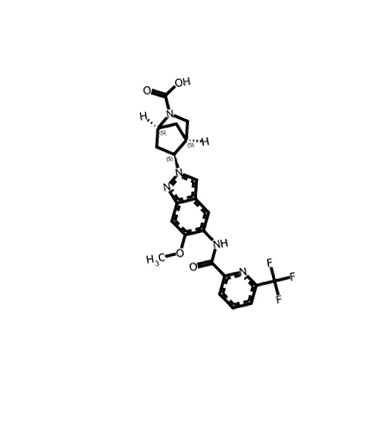 COc1cc2nn([C@H]3C[C@@H]4C[C@H]3CN4C(=O)O)cc2cc1NC(=O)c1cccc(C(F)(F)F)n1